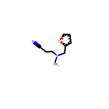 CN(CCC#N)Cc1ccco1